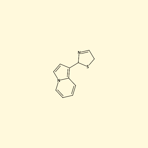 C1=NC(c2ccn3ccccc23)SC1